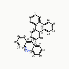 c1ccc2c(c1)c1ccccc1c1ccccc21.c1ccc2nc3ccccc3cc2c1